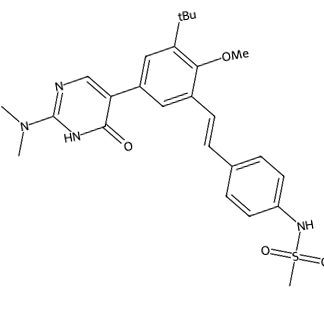 COc1c(C=Cc2ccc(NS(C)(=O)=O)cc2)cc(-c2cnc(N(C)C)[nH]c2=O)cc1C(C)(C)C